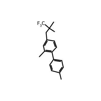 Cc1ccc(-c2ccc(CC(C)(C)C(F)(F)F)cc2C)cc1